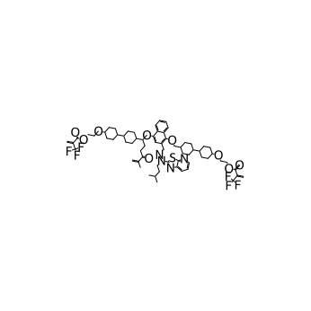 C=C(C)C(=O)CCC(Oc1cc(/C=N/N(CCC(C)C)c2nc3cccnc3s2)c(OCC2CCC(C3CCC(OCCOC(=O)C(=C)C(F)(F)F)CC3)CC2)c2ccccc12)C1CCC(C2CCC(OCCOC(=O)C(=C)C(F)(F)F)CC2)CC1